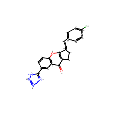 O=c1c2c(oc3ccc(-c4nnn[nH]4)cc13)/C(=C/c1ccc(F)cc1)CC2